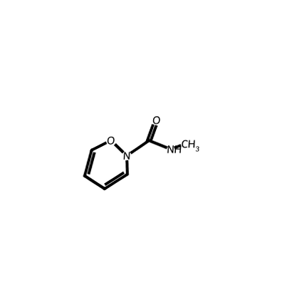 CNC(=O)N1C=CC=CO1